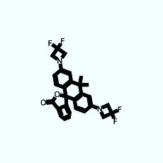 CC1(C)c2cc(N3CC(F)(F)C3)ccc2C2(OC(=O)c3ccccc32)c2ccc(N3CC(F)(F)C3)cc21